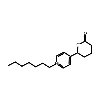 CCCCCCC[n+]1ccc(C2CCCC(=O)O2)cc1